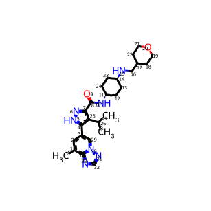 Cc1cc(-c2[nH]nc(C(=O)N[C@H]3CC[C@H](NCC4CCOCC4)CC3)c2C(C)C)cn2ncnc12